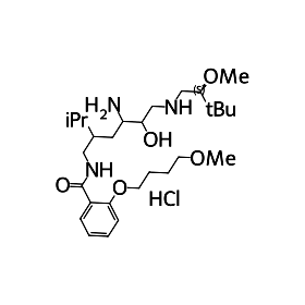 COCCCCOc1ccccc1C(=O)NCC(CC(N)C(O)CNC[C@@H](OC)C(C)(C)C)C(C)C.Cl